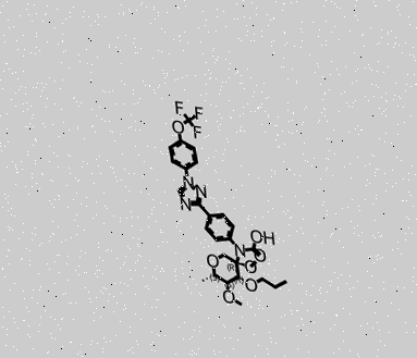 CCCO[C@@H]1[C@@H](OC)[C@H](C)OC[C@]1(OC)N(C(=O)O)c1ccc(-c2ncn(-c3ccc(OC(F)(F)F)cc3)n2)cc1